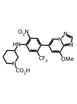 COc1cc(-c2cc([N+](=O)[O-])c(NC3CCCN(C(=O)O)C3)cc2C(F)(F)F)cn2ncnc12